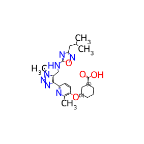 Cc1nc(-c2nnn(C)c2CNc2nc(CC(C)C)no2)ccc1O[C@H]1CCC[C@H](C(=O)O)C1